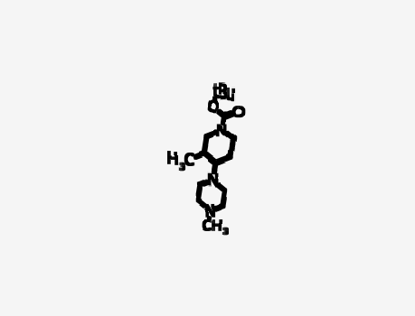 CC1CN(C(=O)OC(C)(C)C)CCC1N1CCN(C)CC1